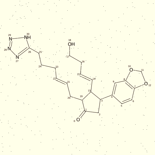 O=C1CC(c2ccc3c(c2)OCO3)C(C=CCCO)C1CC=CCCCc1nnn[nH]1